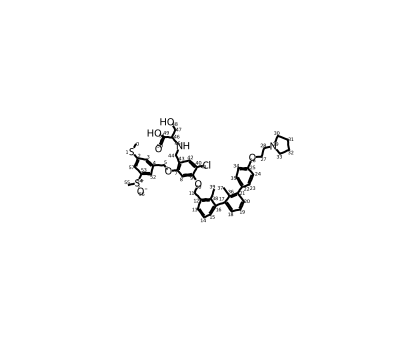 CSc1cc(COc2cc(OCc3cccc(-c4cccc(-c5ccc(OCCN6CCCC6)cc5)c4C)c3C)c(Cl)cc2CNC(CO)C(=O)O)cc([S+](C)[O-])c1